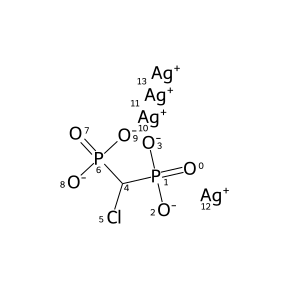 O=P([O-])([O-])C(Cl)P(=O)([O-])[O-].[Ag+].[Ag+].[Ag+].[Ag+]